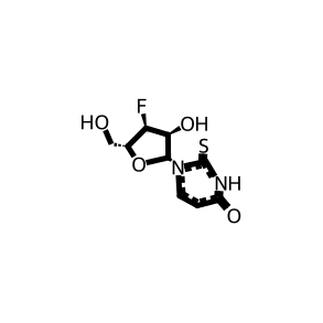 O=c1ccn([C@@H]2O[C@H](CO)[C@@H](F)[C@H]2O)c(=S)[nH]1